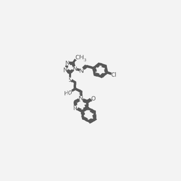 Cc1nnc(SCC(O)Cn2cnc3ccccc3c2=O)n1N=Cc1ccc(Cl)cc1